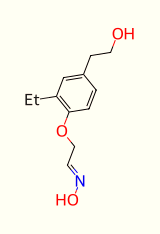 CCc1cc(CCO)ccc1OCC=NO